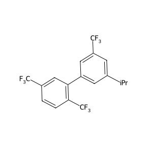 CC(C)c1cc(-c2cc(C(F)(F)F)ccc2C(F)(F)F)cc(C(F)(F)F)c1